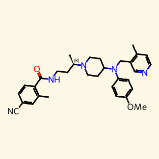 COc1ccc(N(Cc2cnccc2C)C2CCN([C@H](C)CCNC(=O)c3ccc(C#N)cc3C)CC2)cc1